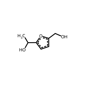 CC(O)c1ccc(CO)o1